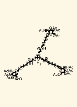 CC(=O)NC1C(OCCOCCOCCNC(=O)CCOCC(N)(COCCC(=O)NCCOCCOCCOC2OC(COC(C)=O)C(OC(C)=O)C(OC(C)=O)C2NC(C)=O)COCCC(=O)NCCOCCOCCOC2OC(COC(C)=O)C(OC(C)=O)C(OC(C)=O)C2NC(C)=O)OC(COC(C)=O)C(OC(C)=O)C1OC(C)=O